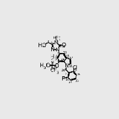 CCn1c(CO)nn(-c2cc(OC(C)(C)C(F)(F)F)c3c(ccn3Cc3c(F)cccc3Cl)c2)c1=O